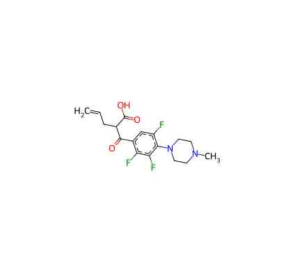 C=CCC(C(=O)O)C(=O)c1cc(F)c(N2CCN(C)CC2)c(F)c1F